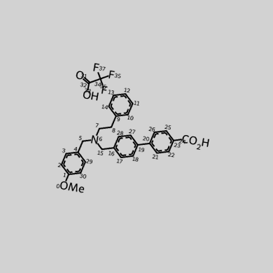 COc1ccc(CN(CCc2ccccc2)Cc2ccc(-c3ccc(C(=O)O)cc3)cc2)cc1.O=C(O)C(F)(F)F